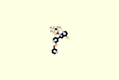 CC(C)(C)OC(=O)n1c(-c2ccnc(OCc3cccnc3)c2)cc2c(Cl)ccnc21